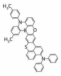 Cc1ccc(N2c3ccc(C)cc3B3c4cc5c(cc4Oc4cccc2c43)-c2ccc(N(c3ccccc3)c3ccccc3)c3cccc(c23)S5)cc1